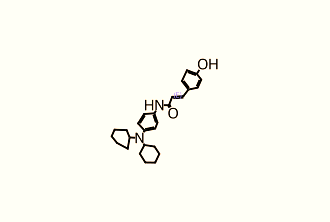 O=C(/C=C/c1ccc(O)cc1)Nc1ccc(N(C2CCCCC2)C2CCCCC2)cc1